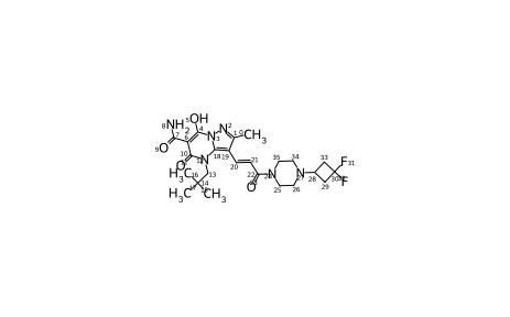 Cc1nn2c(O)c(C(N)=O)c(=O)n(CC(C)(C)C)c2c1C=CC(=O)N1CCN(C2CC(F)(F)C2)CC1